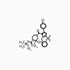 CC(C)(C)OC(=O)N1CCN(C(=O)c2c(-c3ccc(Cl)cc3)cc(C(F)(F)F)n2Cc2ccccc2)CC1(C)C